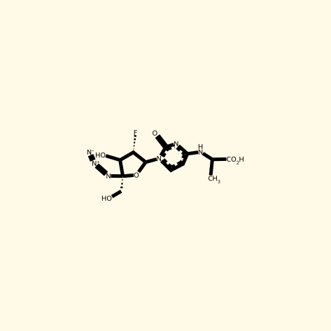 CC(Nc1ccn(C2O[C@@](CO)(N=[N+]=[N-])C(O)[C@@H]2F)c(=O)n1)C(=O)O